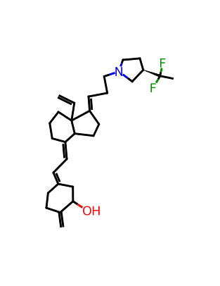 C=CC12CCC/C(=C\C=C3\CCC(=C)C(O)C3)C1CC/C2=C\CCN1CC[C@@H](C(C)(F)F)C1